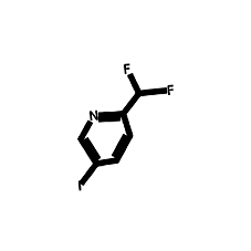 FC(F)c1ccc(I)cn1